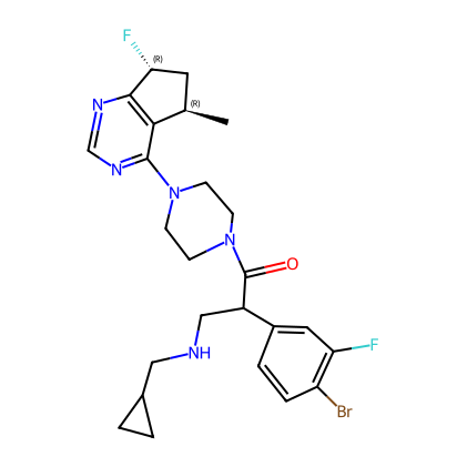 C[C@@H]1C[C@@H](F)c2ncnc(N3CCN(C(=O)C(CNCC4CC4)c4ccc(Br)c(F)c4)CC3)c21